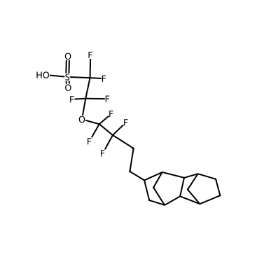 O=S(=O)(O)C(F)(F)C(F)(F)OC(F)(F)C(F)(F)CCC1CC2CC1C1C3CCC(C3)C21